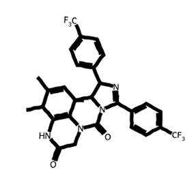 CC1=CC2(C)C3=C(NC(=O)CN3C(=O)N3C(c4ccc(C(F)(F)F)cc4)=NC(c4ccc(C(F)(F)F)cc4)C32)C1C